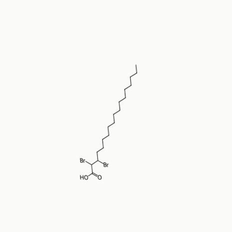 CCCCCCCCCCCCCCCC(Br)C(Br)C(=O)O